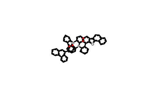 c1ccc(N(c2ccc(-c3cc4ccccc4c4ccccc34)cc2)c2ccccc2-n2c3ccccc3c3ccccc32)c(-c2cccc3c2oc2c4ccccc4ccc32)c1